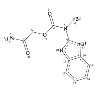 CCCCN(C(=O)OCC(N)=O)c1nc2ccccc2[nH]1